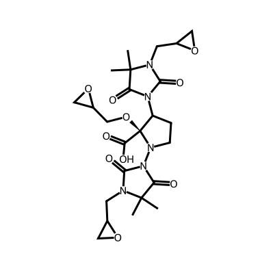 CC1(C)C(=O)N(C2CCN(N3C(=O)N(CC4CO4)C(C)(C)C3=O)[C@]2(OCC2CO2)C(=O)O)C(=O)N1CC1CO1